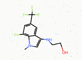 Cn1cc(NCCO)c2cc(C(F)(F)F)cc(F)c21